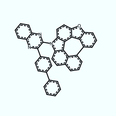 c1ccc(-c2ccc(-c3nc4ccccc4nc3-n3c4ccc5cccc6c5c4c4c5c(ccc43)oc3cccc-6c35)cc2)cc1